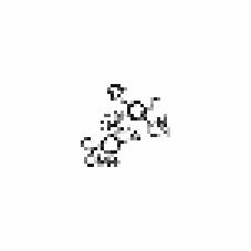 COC(=O)c1ccc(C2CC2)c(S(=O)(=O)Nc2cc(-c3ncnn3C)c(F)cc2-n2cccc2)c1